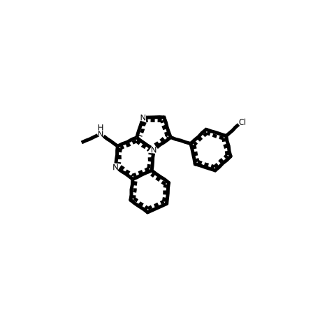 CNc1nc2ccccc2n2c(-c3cccc(Cl)c3)cnc12